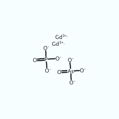 O=P([O-])([O-])[O-].O=[As]([O-])([O-])[O-].[Gd+3].[Gd+3]